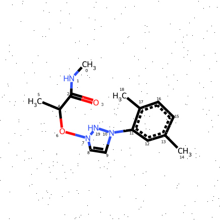 CNC(=O)C(C)ON1C=CN(c2cc(C)ccc2C)N1